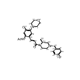 CC(=O)Nc1cc(Cl)c(N2CCOCC2)cc1C=CC(=O)N1CCN(Cc2ccc(F)cc2)CC1C